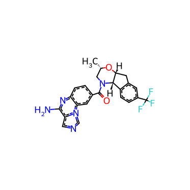 C[C@H]1CN(C(=O)c2ccc3nc(N)c4cncn4c3c2)[C@H]2c3ccc(C(F)(F)F)cc3C[C@H]2O1